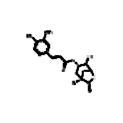 COc1cc(/C=C/C(=O)O[C@H]2C[C@]3(O)CC(OC3=O)[C@@H]2O)ccc1O